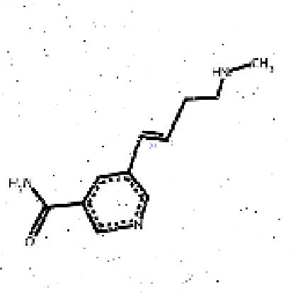 CNCC/C=C/c1cncc(C(N)=O)c1